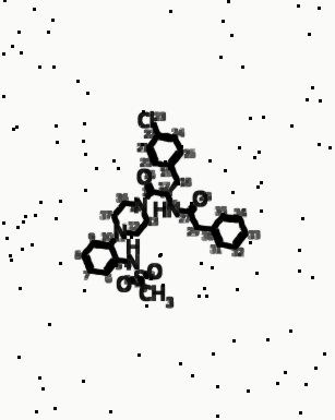 CS(=O)(=O)Nc1ccccc1N1CCN(C(=O)[C@@H](Cc2ccc(Cl)cc2)NC(=O)Cc2ccccc2)CC1